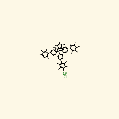 CC1=C(C)[C]([Ti+3])([Si](c2ccc(-c3c(C)c(C)c(C)c(C)c3C)cc2)(c2ccc(-c3c(C)c(C)c(C)c(C)c3C)cc2)c2ccc(-c3c(C)c(C)c(C)c(C)c3C)cc2)C(C)=C1C.[Cl-].[Cl-].[Cl-]